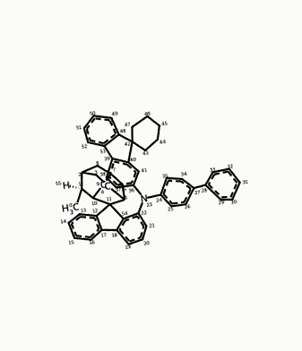 C[C@H]1C2CCC3CC(C2)CC1C31c2ccccc2-c2cccc(N(c3ccc(-c4ccccc4)cc3)c3ccc4c(c3)C3(CCCCC3)c3ccccc3-4)c21